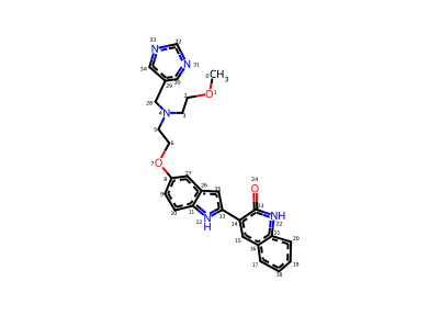 COCCN(CCOc1ccc2[nH]c(-c3cc4ccccc4[nH]c3=O)cc2c1)Cc1cncnc1